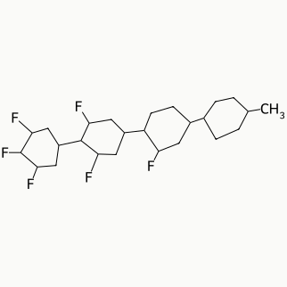 CC1CCC(C2CCC(C3CC(F)C(C4CC(F)C(F)C(F)C4)C(F)C3)C(F)C2)CC1